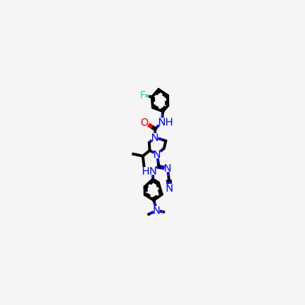 CC(C)C1CN(C(=O)Nc2cccc(F)c2)CCN1/C(=N/C#N)Nc1ccc(N(C)C)cc1